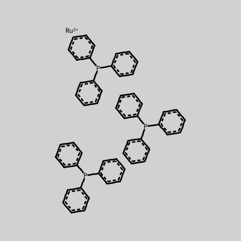 [Ru+2].c1ccc(P(c2ccccc2)c2ccccc2)cc1.c1ccc(P(c2ccccc2)c2ccccc2)cc1.c1ccc(P(c2ccccc2)c2ccccc2)cc1